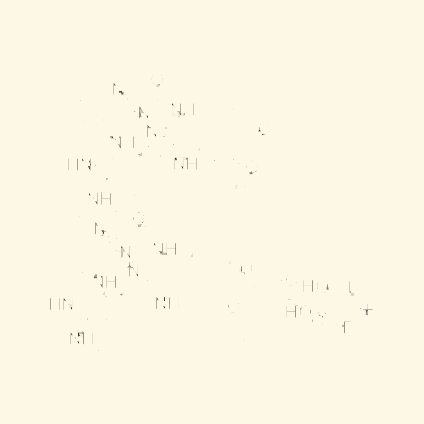 CC(=O)O.CCOc1cc(C(Nc2ccc(C(=N)N)cc2)c2nn(-c3ncccc3N)c(=O)[nH]2)ccc1OC.CCOc1cc([C@H](Nc2ccc(C(=N)N)cc2)c2nn(-c3ncccc3N)c(=O)[nH]2)ccc1OC.O=C(O)C(F)(F)F